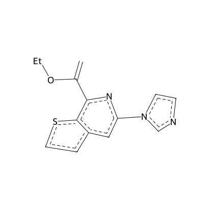 C=C(OCC)c1nc(-n2ccnc2)cc2ccsc12